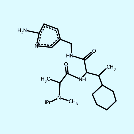 CC(C1CCCCC1)C(NC(=O)C(C)N(C)C(C)C)C(=O)NCc1ccc(N)nc1